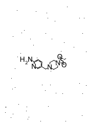 CS(=O)(=O)N1CCN(Cc2ccc(N)nc2)CC1